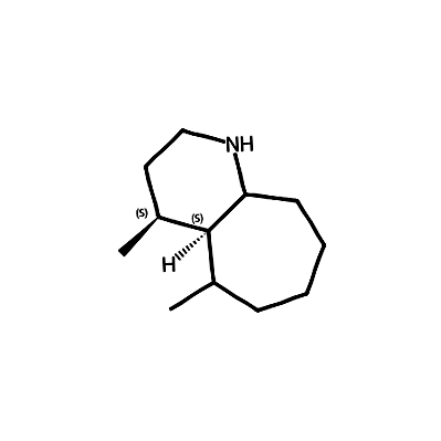 CC1CCCCC2NCC[C@H](C)[C@H]12